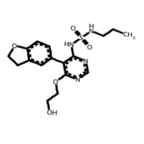 CCCNS(=O)(=O)Nc1ncnc(OCCO)c1-c1ccc2c(c1)CCO2